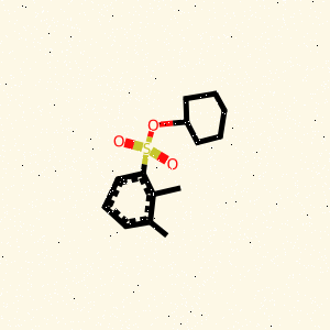 Cc1cccc(S(=O)(=O)OC2CCCCC2)c1C